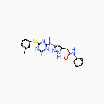 Cc1cccc(Sc2nc(C)nc(Nc3cc(CC(=O)Nc4ccccc4)[nH]n3)n2)c1